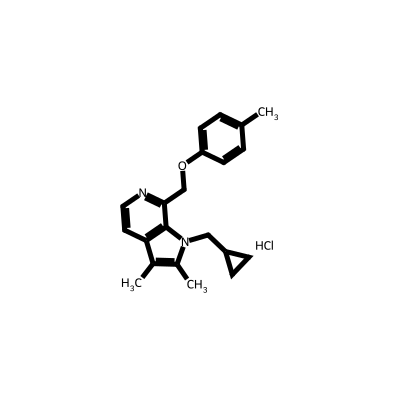 Cc1ccc(OCc2nccc3c(C)c(C)n(CC4CC4)c23)cc1.Cl